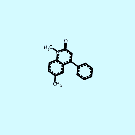 Cc1ccc2c(c1)c(-c1ccccc1)cc(=O)n2C